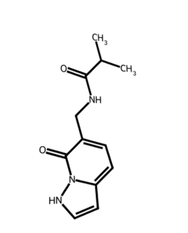 CC(C)C(=O)NCc1ccc2cc[nH]n2c1=O